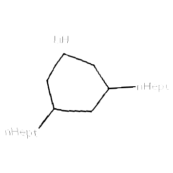 CCCCCCCC1C[CH]CC(CCCCCCC)C1.[LiH]